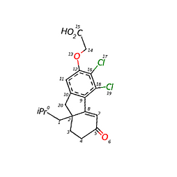 CC(C)CC12CCC(=O)C=C1c1c(cc(OCC(=O)O)c(Cl)c1Cl)C2